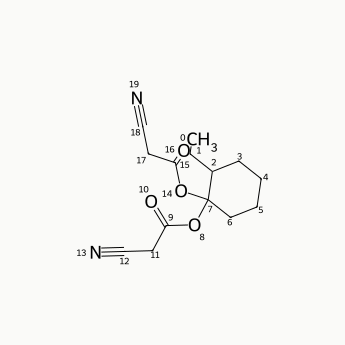 CCC1CCCCC1(OC(=O)CC#N)OC(=O)CC#N